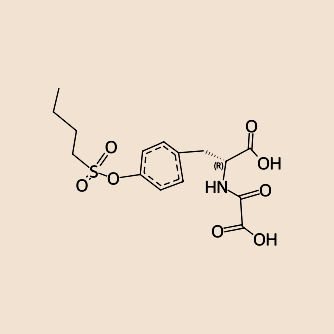 CCCCS(=O)(=O)Oc1ccc(C[C@@H](NC(=O)C(=O)O)C(=O)O)cc1